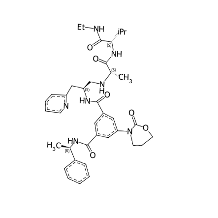 CCNC(=O)[C@@H](NC(=O)[C@H](C)NC[C@H](Cc1ccccn1)NC(=O)c1cc(C(=O)N[C@H](C)c2ccccc2)cc(N2CCCOC2=O)c1)C(C)C